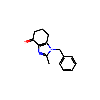 Cc1nc2c(n1Cc1ccccc1)CCCC2=O